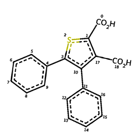 O=C(O)c1sc(-c2ccccc2)c(-c2ccccc2)c1C(=O)O